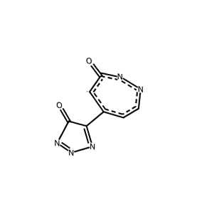 O=C1N=NN=C1c1[c]c(=O)nncc1